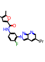 Cc1cc(C(=O)Nc2ccc(F)c(-n3cc4cc(C(C)C)cnc4n3)c2)oc1C